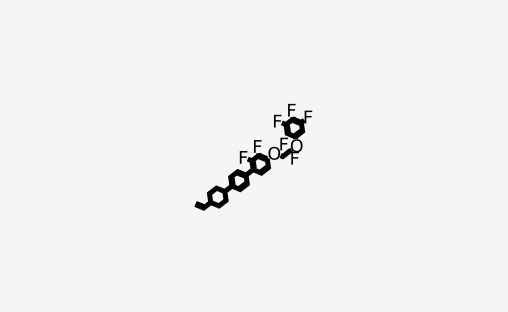 C=CC1CCC(c2ccc(-c3ccc(OCC(F)(F)Oc4cc(F)c(F)c(F)c4)c(F)c3F)cc2)CC1